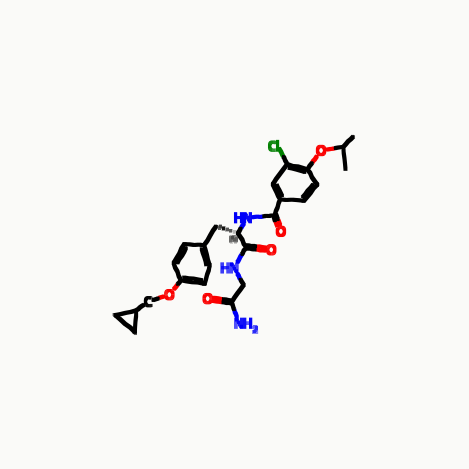 CC(C)Oc1ccc(C(=O)N[C@@H](Cc2ccc(OCC3CC3)cc2)C(=O)NCC(N)=O)cc1Cl